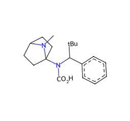 CN1C2CCC1(N(C(=O)O)C(c1ccccc1)C(C)(C)C)CC2